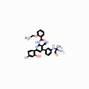 CCOc1ccccc1C(=O)Nc1nc(-c2ccc(Cl)cc2O)cc(-c2cccc(N[C@](C)(N)C=O)c2)c1C#N